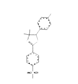 CCS(=O)(=O)c1ccc(C2=NC(O)(C(F)(F)F)C(c3ccc(Cl)cc3)N2)cc1